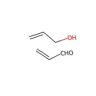 C=CC=O.C=CCO